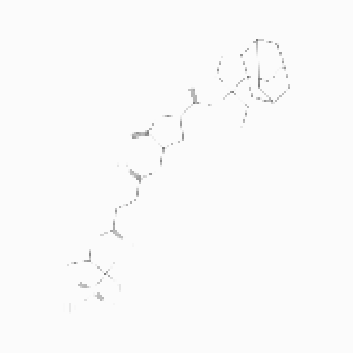 CCC(CC)(OC(=O)C1CC(OC(=O)CCC(=O)OC(C)C(F)(F)S(=O)(=O)O)C(=O)O1)C12CC3CC(CC(C3)C1)C2